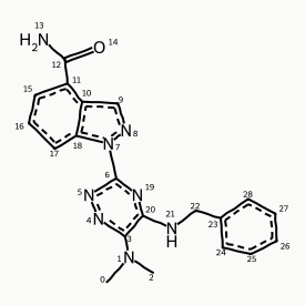 CN(C)c1nnc(-n2ncc3c(C(N)=O)cccc32)nc1NCc1ccccc1